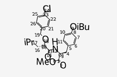 COC(=O)[C@H](Cc1ccc(OCC(C)C)cc1)NC(=O)[C@H](CC(C)C)OCc1ccc(Cl)cc1